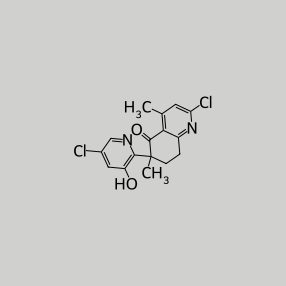 Cc1cc(Cl)nc2c1C(=O)C(C)(c1ncc(Cl)cc1O)CC2